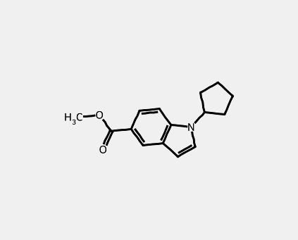 COC(=O)c1ccc2c(ccn2C2CCCC2)c1